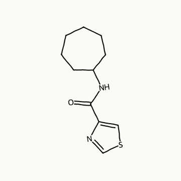 O=C(NC1CCCCCC1)c1cscn1